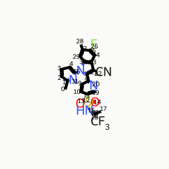 Cc1cccc(-n2c(-c3ccc(S(=O)(=O)N[C@@H](C)C(F)(F)F)cn3)c(C#N)c3cc(F)c(C)cc32)n1